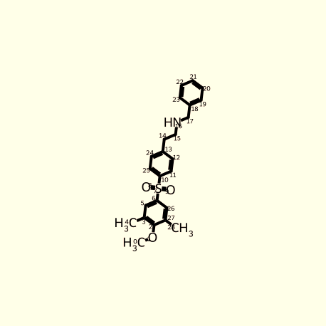 COc1c(C)cc(S(=O)(=O)c2ccc(CCNCc3ccccc3)cc2)cc1C